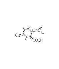 O=C(O)c1cc(Cl)ccc1C1CC1